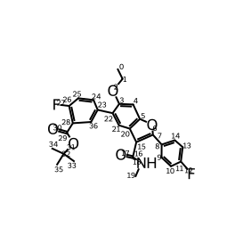 CCOc1cc2oc(-c3ccc(F)cc3)c(C(=O)NC)c2cc1-c1ccc(F)c(C(=O)OC(C)(C)C)c1